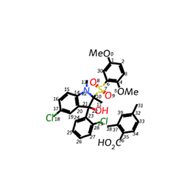 COc1ccc(OC)c(S(=O)(=O)C2(C)N(C)c3ccc(Cl)cc3C2(O)c2ccccc2Cl)c1.Cc1ccc(C(=O)O)c(C)c1